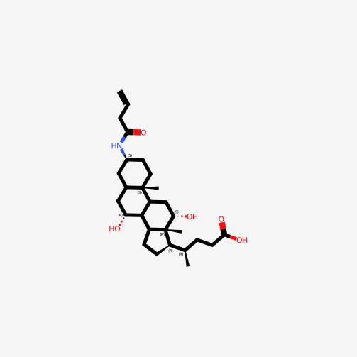 C=CCC(=O)N[C@H]1CC[C@@]2(C)C(C1)C[C@@H](O)C1C2C[C@H](O)[C@@]2(C)C1CC[C@@H]2[C@H](C)CCC(=O)O